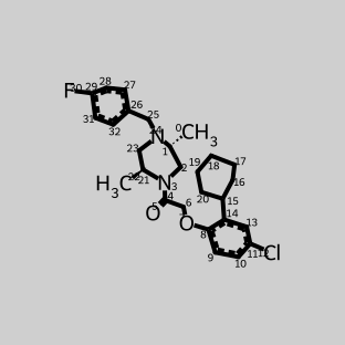 C[C@@H]1CN(C(=O)COc2ccc(Cl)cc2C2CCCCC2)[C@@H](C)CN1Cc1ccc(F)cc1